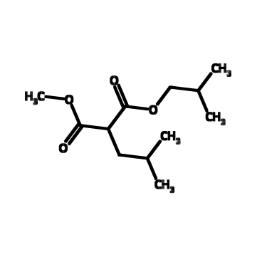 COC(=O)C(CC(C)C)C(=O)OCC(C)C